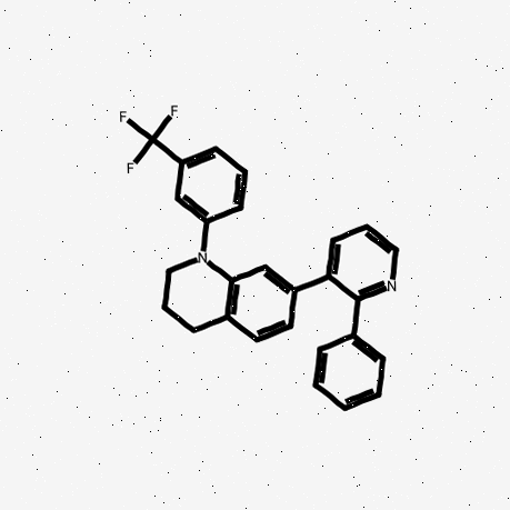 FC(F)(F)c1cccc(N2CCCc3ccc(-c4cccnc4-c4ccccc4)cc32)c1